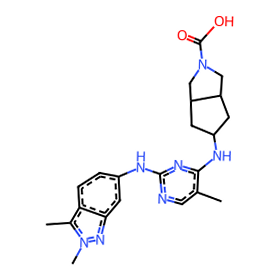 Cc1cnc(Nc2ccc3c(C)n(C)nc3c2)nc1NC1CC2CN(C(=O)O)CC2C1